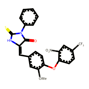 COc1cc(/C=C2/NC(=S)N(c3ccccc3)C2=O)ccc1Oc1ccc(C(F)(F)F)cc1[N+](=O)[O-]